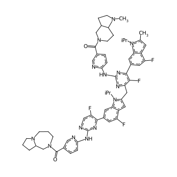 Cc1cc2c(F)cc(-c3nc(Nc4ccc(C(=O)N5CCC6C(CCN6C)C5)cn4)nc(Cc4cc5c(F)cc(-c6nc(Nc7ccc(C(=O)N8CCCN9CCCC9C8)cn7)ncc6F)cc5n4C(C)C)c3F)cc2n1C(C)C